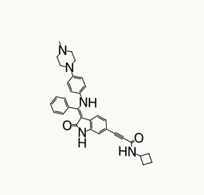 CN1CCN(c2ccc(NC(=C3C(=O)Nc4cc(C#CC(=O)NC5CCC5)ccc43)c3ccccc3)cc2)CC1